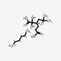 CC(C)(C)CC(CCC(=O)O)C(O)(O)C(=O)O.CCCCCC